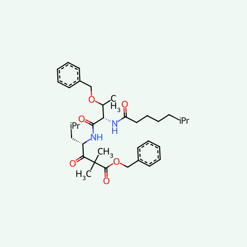 CC(C)CCCCC(=O)N[C@H](C(=O)N[C@@H](CC(C)C)C(=O)C(C)(C)C(=O)OCc1ccccc1)C(C)OCc1ccccc1